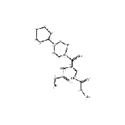 CC(C)(C)OC(=O)NC[C@@H](NC(=O)OC(C)(C)C)C(=O)N1CCN(C2CCCCC2)CC1